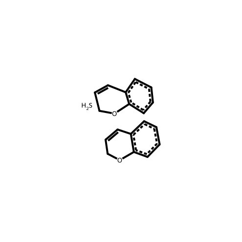 C1=Cc2ccccc2OC1.C1=Cc2ccccc2OC1.S